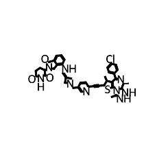 CC(=N)N1C(=N)[C@H](C)N=C(c2ccc(Cl)cc2)C2=C1SC(C#Cc1ccc(CN3CC(=CNc4cccc5c4CN(C4CCC(=O)NC4=O)C5=O)C3)cn1)C2C